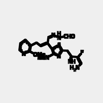 CNc1nc(CC(=N)/C(F)=C\N)sc1C(/C=N\NC=O)=C/Cc1cccnc1OC